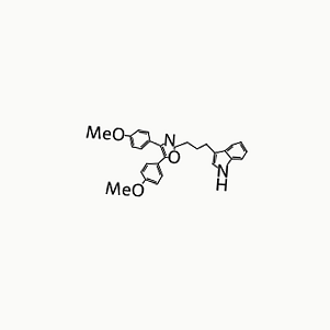 COc1ccc(-c2nc(CCCc3c[nH]c4ccccc34)oc2-c2ccc(OC)cc2)cc1